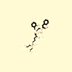 NCCN(CCN)NCCC[C@H](N)C(=O)N[C@@H](Cc1ccc(C(F)(F)F)cc1)C(=O)Nc1cnc2ccccc2c1